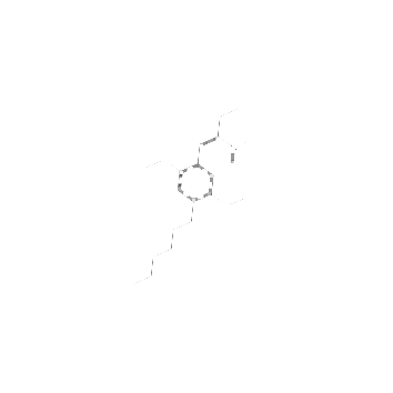 CCCCCCc1cc(OC)c(C=C(CC)[N+](=O)[O-])cc1OC